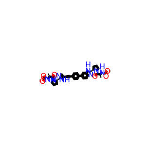 COC(=O)N[C@@H](C)C(=O)N1CCC[C@H]1c1ncc(C#Cc2ccc(-c3ccc4nc([C@@H]5CCCN5C(=O)[C@H](C)NC(=O)OC)[nH]c4c3)cc2)[nH]1